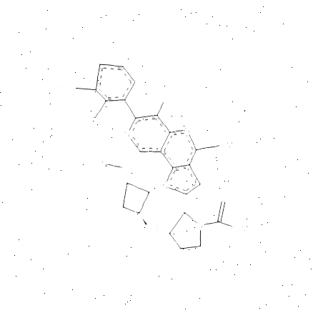 COC(=O)N1CCC[C@@H]1c1cc2c(SC)nc3c(F)c(-c4cccc(C)c4Cl)ncc3c2n1[C@H]1[C@@H](CN)C[C@@H]1C